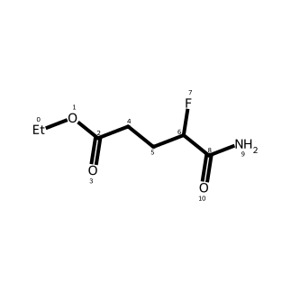 CCOC(=O)CCC(F)C(N)=O